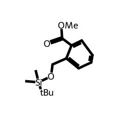 COC(=O)c1ccccc1CO[Si](C)(C)C(C)(C)C